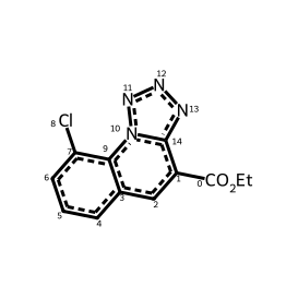 CCOC(=O)c1cc2cccc(Cl)c2n2nnnc12